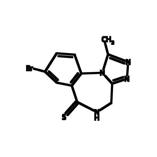 Cc1nnc2n1-c1ccc(Br)cc1C(=S)NC2